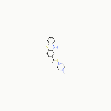 CC(SN1CCN(C)CC1)c1ccc2c(c1)Nc1ccccc1S2